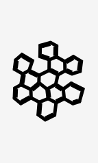 c1ccc2c(c1)c1ccccc1c1c2c2c3ccccc3c3cccc4c5cccc6c7ccccc7c1c(c65)c2c34